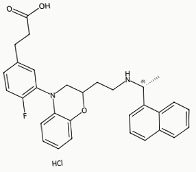 C[C@@H](NCCC1CN(c2cc(CCC(=O)O)ccc2F)c2ccccc2O1)c1cccc2ccccc12.Cl